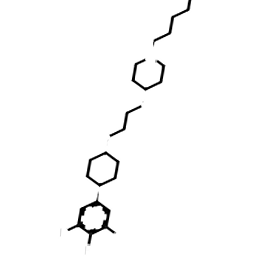 CCCCC[Si@H]1CC[C@H](CCCC[C@H]2CC[C@H](c3cc(F)c(F)c(F)c3)CC2)CC1